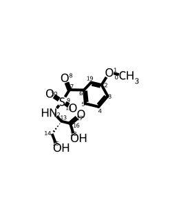 COc1cccc(C(=O)S(=O)(=O)N[C@@H](CO)C(=O)O)c1